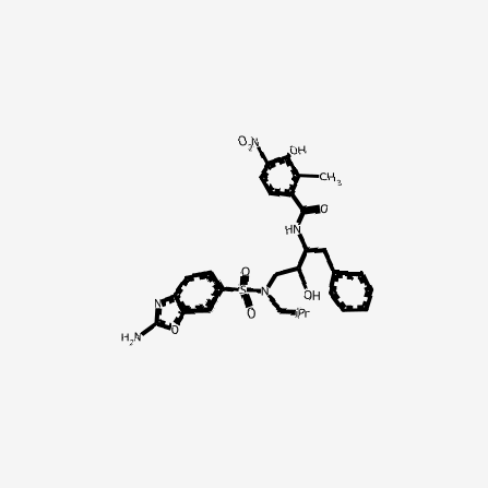 Cc1c(C(=O)NC(Cc2ccccc2)C(O)CN(CC(C)C)S(=O)(=O)c2ccc3nc(N)oc3c2)ccc([N+](=O)[O-])c1O